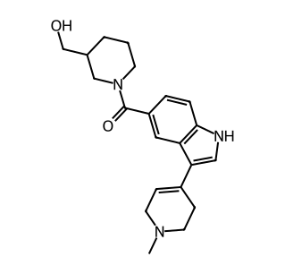 CN1CC=C(c2c[nH]c3ccc(C(=O)N4CCCC(CO)C4)cc23)CC1